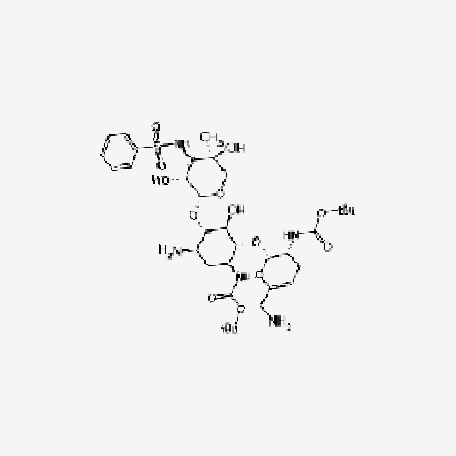 CC(C)(C)OC(=O)N[C@H]1C[C@@H](N)[C@H](O[C@H]2OC[C@](C)(O)[C@H](NS(=O)(=O)c3ccccc3)[C@H]2O)[C@@H](O)[C@@H]1O[C@H]1OC(CN)=CC[C@H]1NC(=O)OC(C)(C)C